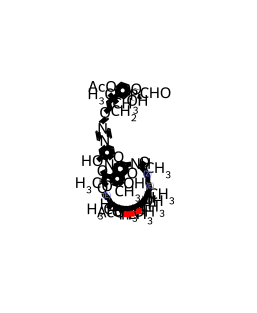 C=C(CC(C)(C)c1cc(P(=O)(O)CC=O)ccc1OC(C)=O)OCCN1CCN(c2cc(O)c3nc4c5c6c7c(C)c(O)c5c(=O)c(c-4oc3c2)NC(=O)/C(C)=C\C=C\[C@H](C)[C@H](O)[C@@H](C)[C@@H](O)[C@@H](C)[C@H](OC(C)=O)[C@H](C)[C@@H](C)/C=C/O[C@@](C)(O7)C6=O)CC1